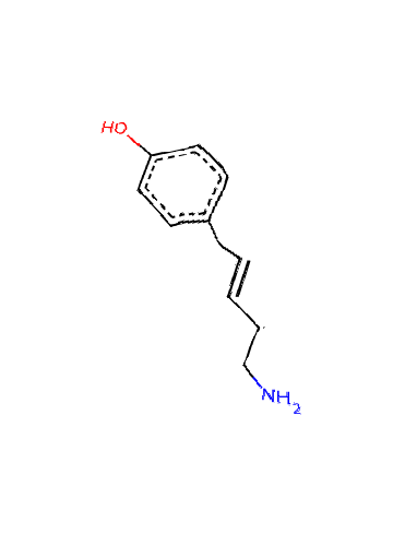 NC[CH]C=Cc1ccc(O)cc1